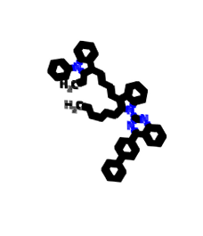 C=C/C=C\C=C\c1c(/C=C/C=C/C2c3ccccc3N(c3ccccc3)C2C=C)c2ccccc2n1-c1nc(-c2ccc(-c3ccccc3)cc2)c2ccccc2n1